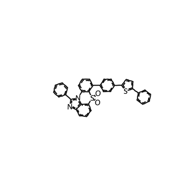 O=S1(=O)c2c(-c3ccc(-c4ccc(-c5ccccc5)s4)cc3)cccc2-n2c(-c3ccccc3)nc3cccc1c32